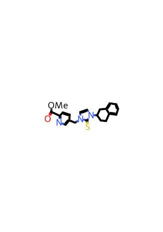 COC(=O)c1ccc(Cn2ccn(C3CCc4ccccc4C3)c2=S)cn1